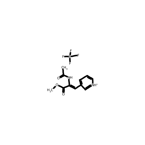 COC(=O)C(=Cc1ccc[nH+]c1)NC(C)=O.F[B-](F)(F)F